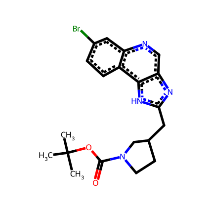 CC(C)(C)OC(=O)N1CCC(Cc2nc3cnc4cc(Br)ccc4c3[nH]2)C1